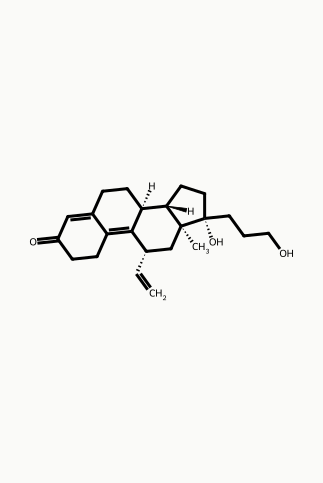 C=C[C@H]1C[C@@]2(C)[C@@H](CC[C@@]2(O)CCCO)[C@@H]2CCC3=CC(=O)CCC3=C21